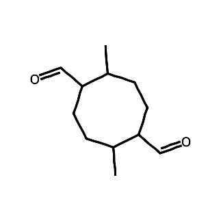 CC1CCC(C=O)C(C)CCC1C=O